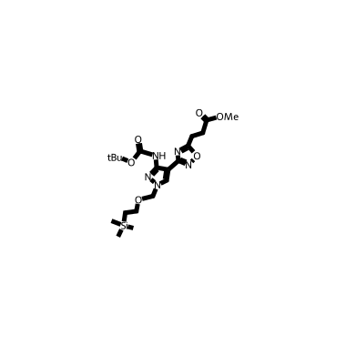 COC(=O)CCc1nc(-c2cn(COCC[Si](C)(C)C)nc2NC(=O)OC(C)(C)C)no1